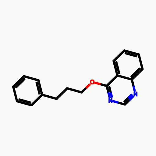 c1ccc(CCCOc2ncnc3ccccc23)cc1